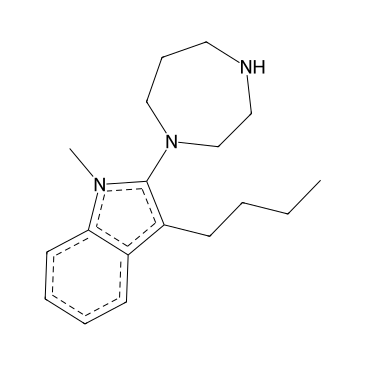 CCCCc1c(N2CCCNCC2)n(C)c2ccccc12